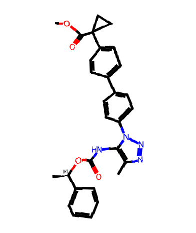 COC(=O)C1(c2ccc(-c3ccc(-n4nnc(C)c4NC(=O)O[C@H](C)c4ccccc4)cc3)cc2)CC1